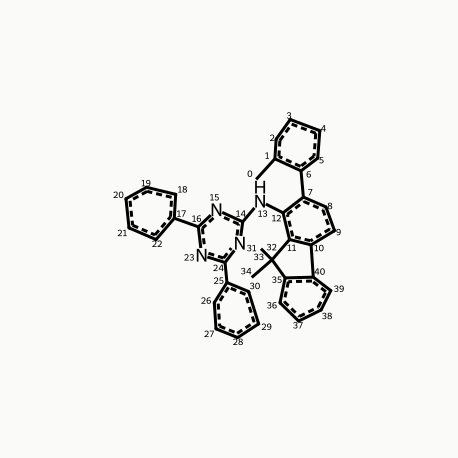 Cc1ccccc1-c1ccc2c(c1Nc1nc(-c3ccccc3)nc(-c3ccccc3)n1)C(C)(C)c1ccccc1-2